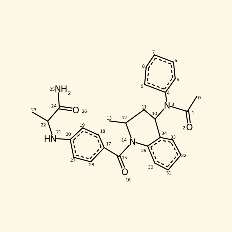 CC(=O)N(c1ccccc1)C1CC(C)N(C(=O)c2ccc(NC(C)C(N)=O)cc2)c2ccccc21